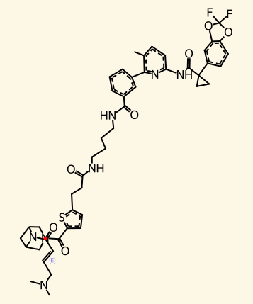 Cc1ccc(NC(=O)C2(c3ccc4c(c3)OC(F)(F)O4)CC2)nc1-c1cccc(C(=O)NCCCCNC(=O)CCc2ccc(C(=O)N3CC4CC(C3)N4C(=O)/C=C/CN(C)C)s2)c1